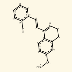 CCCCOc1ccc2c(c1)CCN=C2/C=C/c1ccccc1Cl